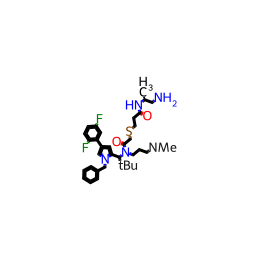 CNCCCN(C(=O)CSCCC(=O)N[C@@H](C)CN)C(c1cc(-c2cc(F)ccc2F)cn1Cc1ccccc1)C(C)(C)C